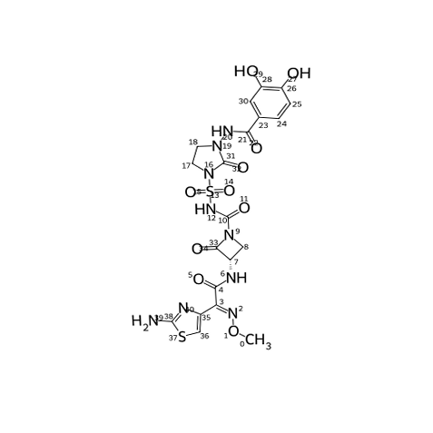 CON=C(C(=O)N[C@H]1CN(C(=O)NS(=O)(=O)N2CCN(NC(=O)c3ccc(O)c(O)c3)C2=O)C1=O)c1csc(N)n1